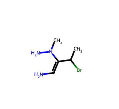 CC(Br)/C(=C/N)N(C)N